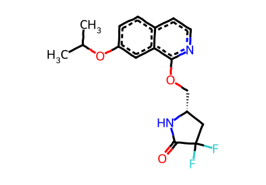 CC(C)Oc1ccc2ccnc(OC[C@@H]3CC(F)(F)C(=O)N3)c2c1